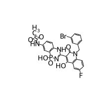 CS(=O)(=O)Nc1ccc2c(c1)P(=O)(O)N=C(c1c(O)c3cc(F)ccc3n(Cc3cccc(Br)c3)c1=O)N2